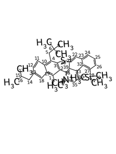 Cc1c2c(c(CC(C)(C)C)c3ccc(CC(C)C)cc13)Sc1cc3cccc([Si](C)(C)C)c3c3cc[n+](C)c-2c13